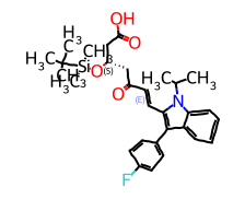 CC(C)n1c(/C=C/C(=O)C[C@@H](CC(=O)O)O[Si](C)(C)C(C)(C)C)c(-c2ccc(F)cc2)c2ccccc21